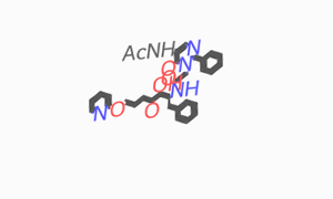 CC(=O)Nc1cnc(-c2ccccc2)n(CC(=O)N[C@@H](Cc2ccccc2)[C@@H](O)C(=O)CCCOc2ccccn2)c1=O